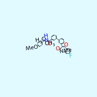 CNC(=O)c1c(-c2ccc(F)cc2)oc2ccc(-c3cccc(C(=O)NC(C)(C)c4ccc(OC)cc4)c3)cc12